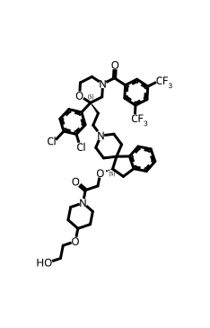 O=C(CO[C@H]1Cc2ccccc2C12CCN(CC[C@]1(c3ccc(Cl)c(Cl)c3)CN(C(=O)c3cc(C(F)(F)F)cc(C(F)(F)F)c3)CCO1)CC2)N1CCC(OCCO)CC1